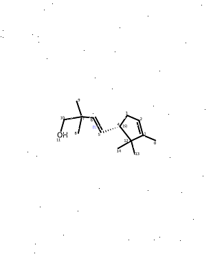 CC1=CC[C@@H](/C=C/C(C)(C)CO)C1(C)C